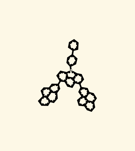 c1ccc(-c2ccc(-n3c4ccc(-c5cc6ccc7cccc8ccc(c5)c6c78)c5ccc6c(-c7cc8ccc9cccc%10ccc(c7)c8c9%10)ccc3c6c54)cc2)cc1